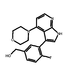 OCc1ccc(F)c(-c2c[nH]c3nccc(N4CCOCC4)c23)c1